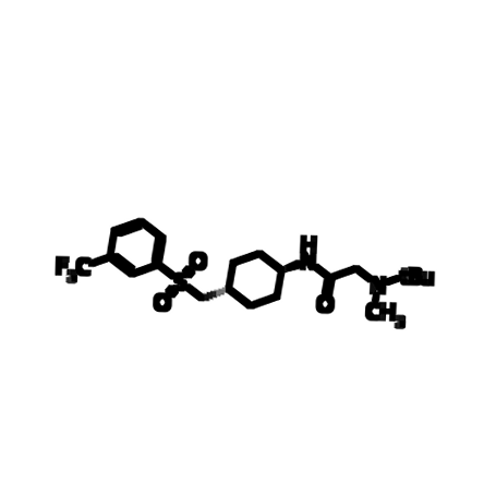 CN(CC(=O)N[C@H]1CC[C@H](CS(=O)(=O)c2cccc(C(F)(F)F)c2)CC1)C(C)(C)C